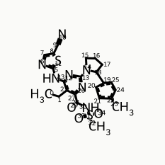 CCc1c(Nc2ncc(C#N)s2)nc(N2CCCC2c2ccc(C)cc2)nc1C(=O)NS(C)(=O)=O